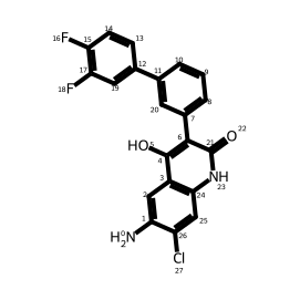 Nc1cc2c(O)c(-c3cccc(-c4ccc(F)c(F)c4)c3)c(=O)[nH]c2cc1Cl